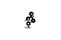 O=C(O)[C@@H]1CC[C@H](n2nc(-c3c(-c4ccccc4)nn4ccccc34)ccc2=O)C(=O)C1